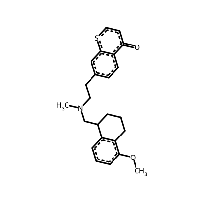 COc1cccc2c1CCCC2CN(C)CCc1ccc2c(=O)ccsc2c1